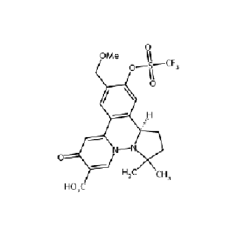 COCc1cc2c(cc1OS(=O)(=O)C(F)(F)F)[C@H]1CCC(C)(C)N1n1cc(C(=O)O)c(=O)cc1-2